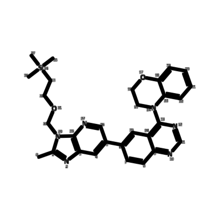 Cc1nc2cc(-c3ccc4ncnc(N5CCOc6ccccc65)c4c3)cnc2n1COCC[Si](C)(C)C